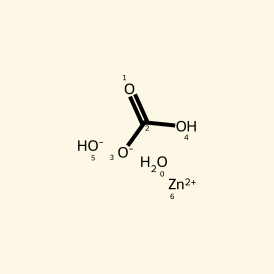 O.O=C([O-])O.[OH-].[Zn+2]